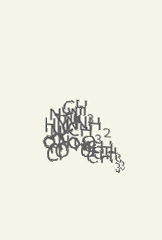 CC[C@H](Nc1nc(N)nc(C)c1C#N)c1nc2cccc(Cl)c2c(=O)n1C1CCN(C(=O)OC(C)(C)C)CC1